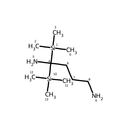 C[Si](C)(C)C(N)(CCCN)[Si](C)(C)C